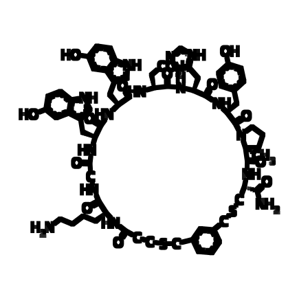 C[C@@]12CCCN1C(=O)[C@H](Cc1ccc(O)cc1)NC(=O)[C@H](Cc1cnc[nH]1)NC(=O)[C@H](CC(=O)O)NC(=O)[C@H](Cc1c[nH]c3ccc(O)cc13)NC(=O)[C@H](Cc1c[nH]c3ccc(O)cc13)NC(=O)CNC(=O)[C@H](CCCCN)NC(=O)CCSCc1cccc(c1)CSC[C@@H](C(N)=O)NC2=O